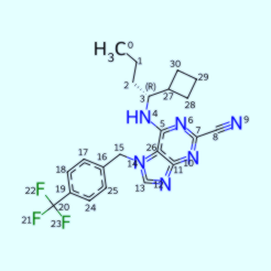 CCC[C@@H](Nc1nc(C#N)nc2ncn(Cc3ccc(C(F)(F)F)cc3)c12)C1CCC1